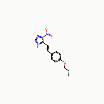 CCCOc1ccc(/C=C/c2[nH]cnc2[N+](=O)[O-])cc1